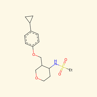 CCS(=O)(=O)NC1CCOCC1COc1ccc(C2CC2)cc1